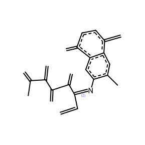 C=C/C(=N/c1cc2c(=C)ccc(=C)c2cc1C)C(=C)C(=C)C(=C)C(=C)C